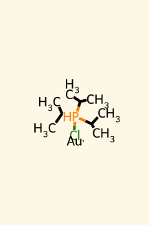 CC(C)[PH](Cl)(C(C)C)C(C)C.[Au]